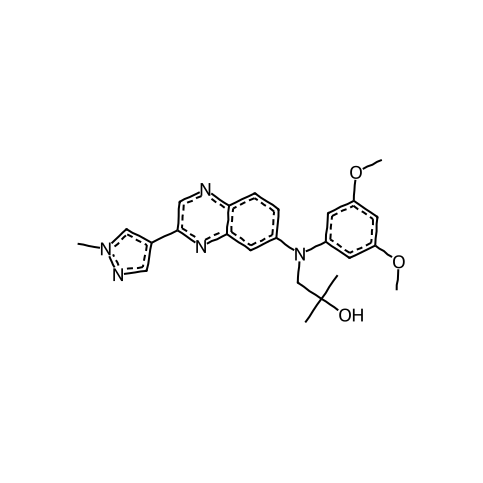 COc1cc(OC)cc(N(CC(C)(C)O)c2ccc3ncc(-c4cnn(C)c4)nc3c2)c1